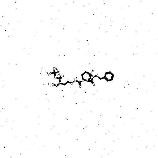 CCN(CCONC(=O)[C@@H]1CC[C@@H]2CN1C(=O)N2OCc1ccccc1)C(=O)OC(C)(C)C